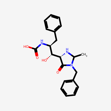 CC1N[C@@H]([C@H](O)[C@H](Cc2ccccc2)NC(=O)O)C(=O)N1Cc1ccccc1